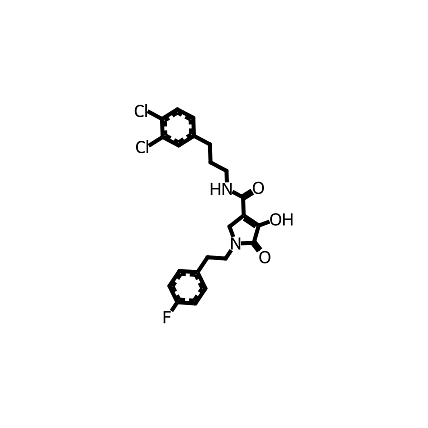 O=C(NCCCc1ccc(Cl)c(Cl)c1)C1=C(O)C(=O)N(CCc2ccc(F)cc2)C1